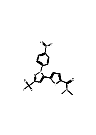 CN(C)C(=O)c1ccc(-c2cc(C(F)(F)F)nn2-c2ccc([N+](=O)[O-])cc2)s1